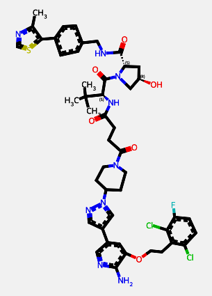 Cc1ncsc1-c1ccc(CNC(=O)[C@@H]2C[C@@H](O)CN2C(=O)[C@@H](NC(=O)CCC(=O)N2CCC(n3cc(-c4cnc(N)c(OCCc5c(Cl)ccc(F)c5Cl)c4)cn3)CC2)C(C)(C)C)cc1